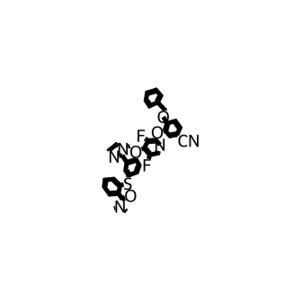 CN(C)C(=O)c1ccccc1Sc1ccc(Oc2c(F)cnc(Oc3cc(C#N)ccc3OCc3ccccc3)c2F)c(C2N=CCN2C)c1